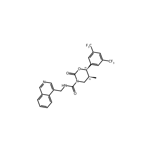 C[C@H]1CN(C(=O)NCc2cncc3ccccc23)C(=O)O[C@H]1c1cc(C(F)(F)F)cc(C(F)(F)F)c1